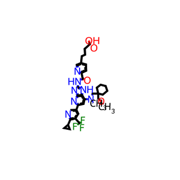 COCC1(CN(C)c2cc(-c3cnc(C4CC4)c(C(F)(F)F)c3)nc3nc(NC(=O)c4ccc(CCCC(=O)O)cn4)[nH]c23)CCCCC1